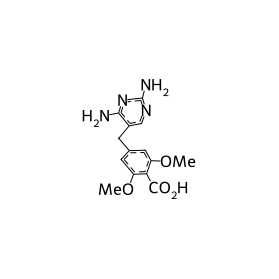 COc1cc(Cc2cnc(N)nc2N)cc(OC)c1C(=O)O